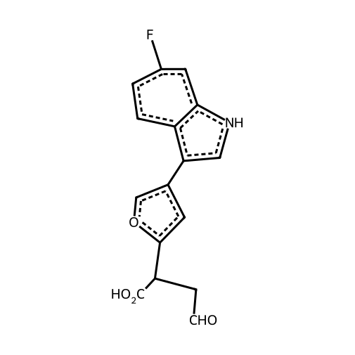 O=CCC(C(=O)O)c1cc(-c2c[nH]c3cc(F)ccc23)co1